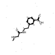 CNCC(=O)NCCc1cccc(C(=O)O)c1